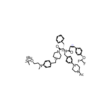 CC(=O)N1CCN(c2ccc(CN(C(=O)/C=C\c3ccc(OC(F)F)cc3)[C@@H](Cc3ccccc3)C(=O)N3CCN(Cc4ccc(N(C)CCO[Si](C)(C)C(C)(C)C)cc4)CC3)cc2)CC1